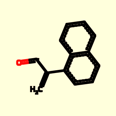 C=C([C]=O)c1cccc2ccccc12